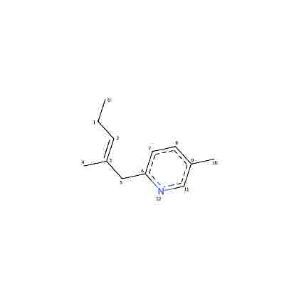 CCC=C(C)Cc1ccc(C)cn1